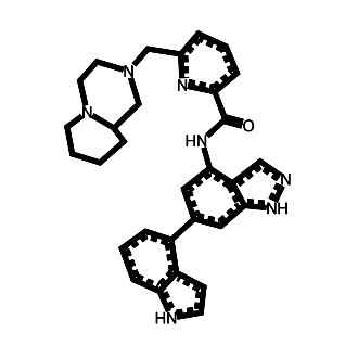 O=C(Nc1cc(-c2cccc3[nH]ccc23)cc2[nH]ncc12)c1cccc(CN2CCN3CCCCC3C2)n1